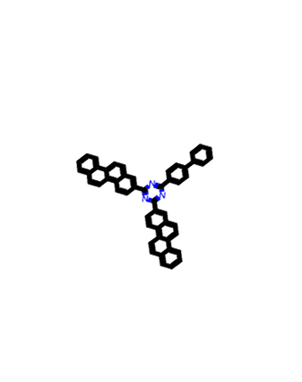 c1ccc(-c2ccc(-c3nc(-c4ccc5c(ccc6c7ccccc7ccc56)c4)nc(-c4ccc5c(ccc6c7ccccc7ccc56)c4)n3)cc2)cc1